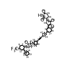 CC(C)(C(=O)Nc1ccc(C(F)(F)F)cc1-n1cccn1)n1cc(C#CC2CN(c3ccc4oc5c(c4c3)CN(C3CCC(=O)NC3=O)C5=O)C2)cn1